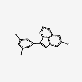 Cc1cc(C)cc(C2=Cc3cc(Cl)cc4ccnc2c34)c1